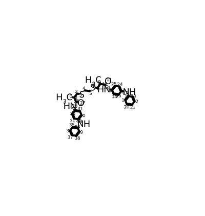 CC(CSCCSCC(C)C(=O)Nc1ccc(Nc2ccccc2)cc1)C(=O)Nc1ccc(Nc2ccccc2)cc1